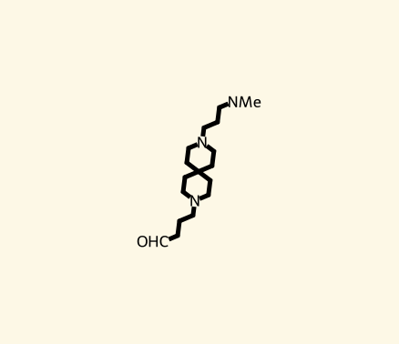 CNCCCN1CCC2(CCN(CCCC=O)CC2)CC1